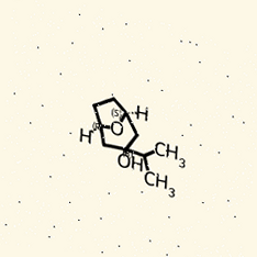 CC(C)[C@]1(O)C[C@H]2CC[C@@H](C1)O2